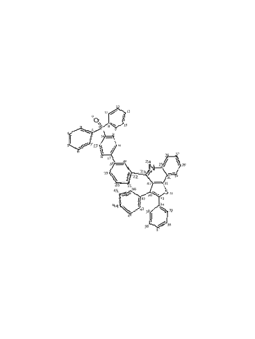 O=P(c1ccccc1)(c1ccccc1)c1ccc(-c2cccc(-c3nc4ccccc4c4sc(-c5ccccc5)c(-c5ccccc5)c34)c2)cc1